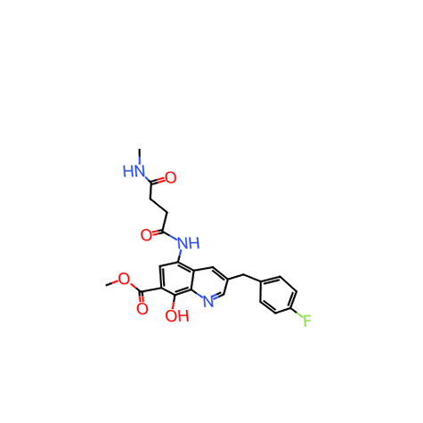 CNC(=O)CCC(=O)Nc1cc(C(=O)OC)c(O)c2ncc(Cc3ccc(F)cc3)cc12